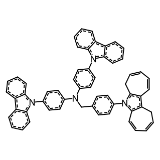 C1=CCc2c3c(n(-c4ccc(CN(c5ccc(-n6c7ccccc7c7ccccc76)cc5)c5ccc(-n6c7ccccc7c7ccccc76)cc5)cc4)c2C=C1)CC=CC=C3